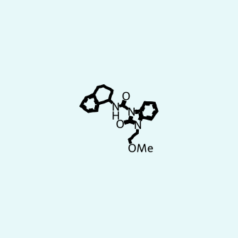 COCCn1c(=O)n(C(=O)NC2CCCc3ccccc32)c2ccccc21